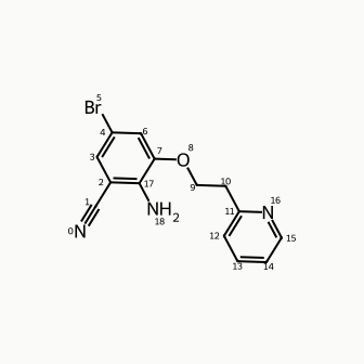 N#Cc1cc(Br)cc(OCCc2ccccn2)c1N